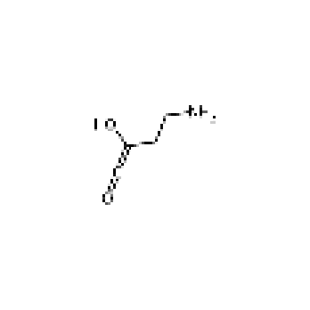 NCCC(O)=C=O